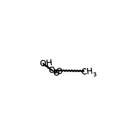 CCCCCCCCCCCCCCCCCCOC[C@@H]1C[C@@H](COCCCCCCCO)CO1